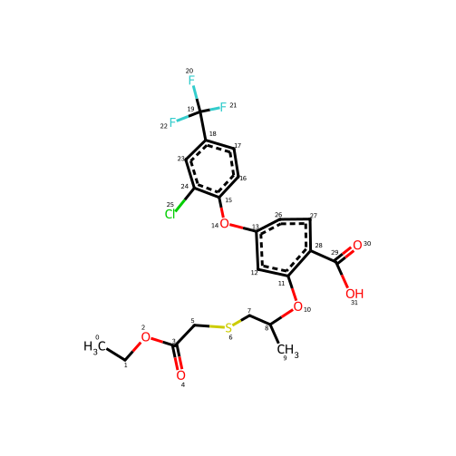 CCOC(=O)CSCC(C)Oc1cc(Oc2ccc(C(F)(F)F)cc2Cl)ccc1C(=O)O